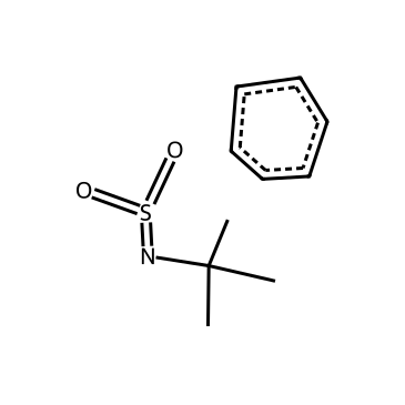 CC(C)(C)N=S(=O)=O.c1ccccc1